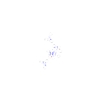 c1ccc(-c2cccc(-c3ccccc3)c2-c2cc(-n3c4ccccc4c4cc(-c5ccc6c(c5)c5ccccc5n6-c5ccccc5)ccc43)nc(-n3c4ccccc4c4cc(-c5ccc6c(c5)c5ccccc5n6-c5ccccc5)ccc43)n2)cc1